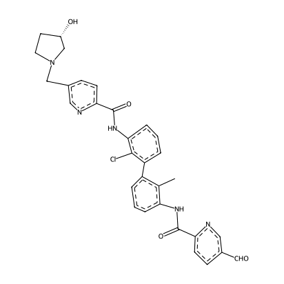 Cc1c(NC(=O)c2ccc(C=O)cn2)cccc1-c1cccc(NC(=O)c2ccc(CN3CC[C@H](O)C3)cn2)c1Cl